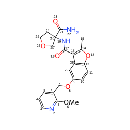 COc1ncccc1COc1ccc2oc(C)c(C(=O)NC3(C(N)=O)CCOC3)c2c1